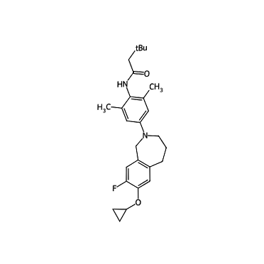 Cc1cc(N2CCCc3cc(OC4CC4)c(F)cc3C2)cc(C)c1NC(=O)CC(C)(C)C